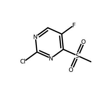 CS(=O)(=O)c1nc(Cl)ncc1F